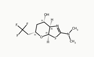 CN(C)C1=N[C@H]2[C@H](O[C@H](CC(F)(F)F)C[C@@H]2O)S1